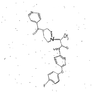 CC(C(=O)Nc1ccc(Oc2ccc(F)cc2)cn1)N1CCN(C(=O)c2ccncc2)CC1